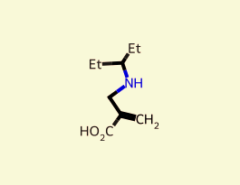 C=C(CNC(CC)CC)C(=O)O